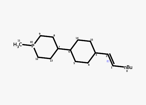 CCCC/C=C/C1CCC(C2CCP(C)CC2)CC1